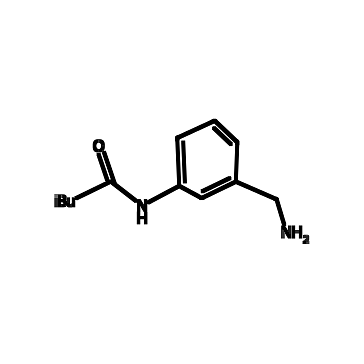 CCC(C)C(=O)Nc1cccc(CN)c1